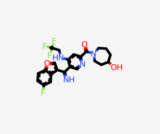 N=C(c1cnc(C(=O)N2CCCC(O)CC2)cc1NCC(F)(F)F)c1coc2ccc(F)cc12